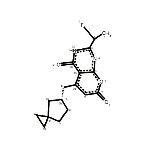 CC(F)c1nc2oc(=O)cc(C[C@@H]3CCC4(CC4)C3)c2c(=O)[nH]1